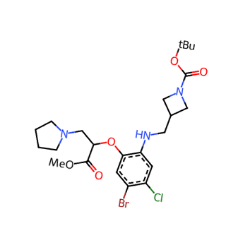 COC(=O)C(CN1CCCC1)Oc1cc(Br)c(Cl)cc1NCC1CN(C(=O)OC(C)(C)C)C1